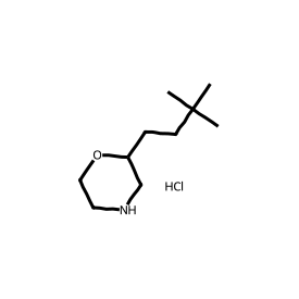 CC(C)(C)CCC1CNCCO1.Cl